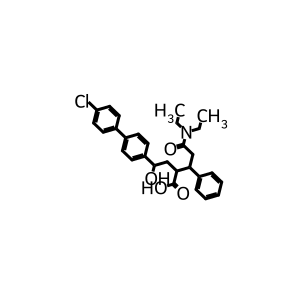 CCN(CC)C(=O)CC(c1ccccc1)C(CC(O)c1ccc(-c2ccc(Cl)cc2)cc1)C(=O)O